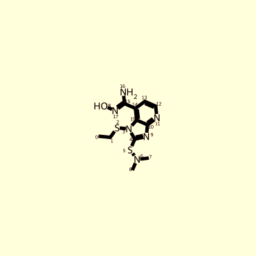 CCSn1c(SN(C)C)nc2nccc(C(N)=NO)c21